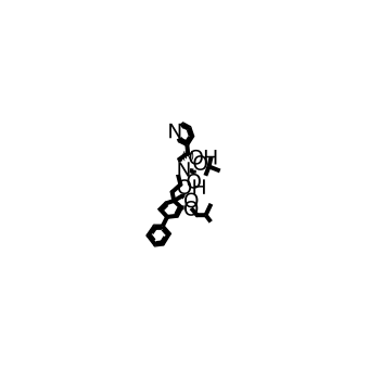 CC(C)COC1=CC(c2ccccc2)C=CC1(CCCN(C[C@H](O)c1cccnc1)C(=O)OC(C)(C)C)C(=O)O